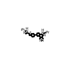 CC(C)c1ncc(-c2cc3ccc(-c4ccc5c(c4)c4cnncc4c4nc(C(C)C)[nH]c54)cc3s2)[nH]1